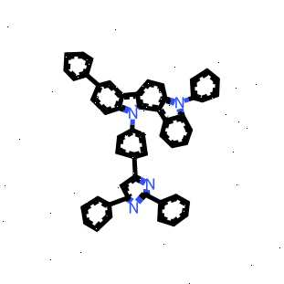 c1ccc(-c2ccc3c(c2)c2ccc4c(c5ccccc5n4-c4ccccc4)c2n3-c2ccc(-c3cc(-c4ccccc4)nc(-c4ccccc4)n3)cc2)cc1